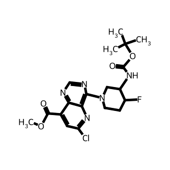 COC(=O)c1cc(Cl)nc2c(N3CCC(F)C(NC(=O)OC(C)(C)C)C3)ncnc12